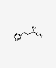 CC(Br)CCn1ccnc1